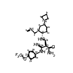 C=NC[C@H]1C[C@@H](N2CCC2)CC[C@@H]1N/C=C(\C(=N)Nc1ccc(OC(F)(F)F)cc1)C(N)=O